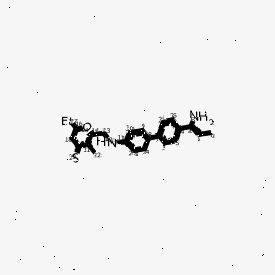 CC=C(N)c1ccc(-c2ccc(NCc3oc(CC)cc(=S)c3C)cc2)cc1